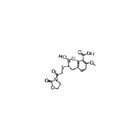 COc1ccc2c(c1C(=O)O)OB(O)C(SCC(=O)N1CCOC1=O)C2